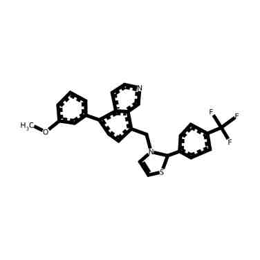 COc1cccc(-c2ccc(CN3C=CSC3c3ccc(C(F)(F)F)cc3)c3cnccc23)c1